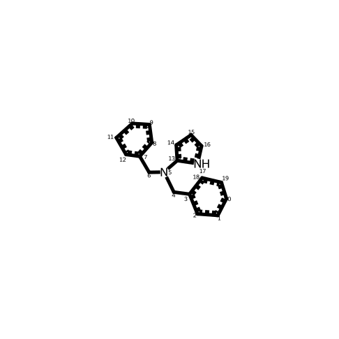 c1ccc(CN(Cc2ccccc2)c2ccc[nH]2)cc1